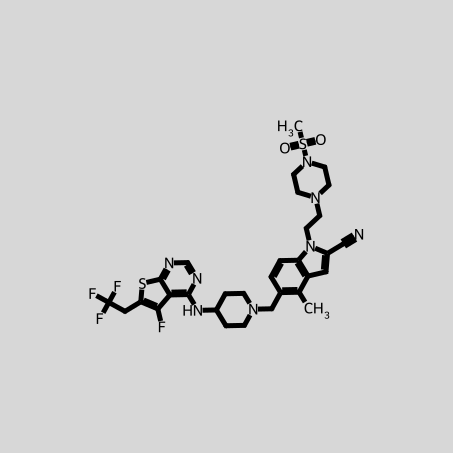 Cc1c(CN2CCC(Nc3ncnc4sc(CC(F)(F)F)c(F)c34)CC2)ccc2c1cc(C#N)n2CCN1CCN(S(C)(=O)=O)CC1